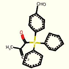 C=C(C)C(=O)S(c1ccccc1)(c1ccccc1)c1ccc(C=O)cc1